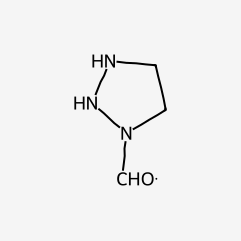 O=[C]N1CCNN1